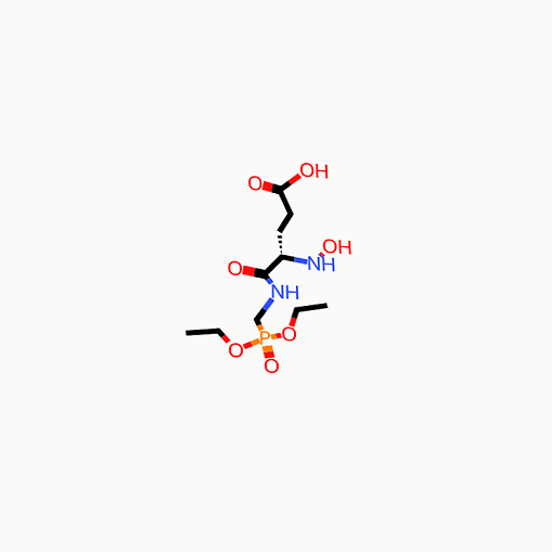 CCOP(=O)(CNC(=O)[C@H](CCC(=O)O)NO)OCC